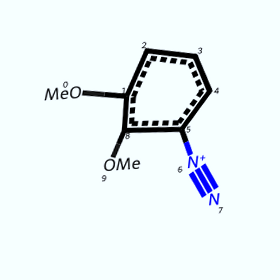 COc1cccc([N+]#N)c1OC